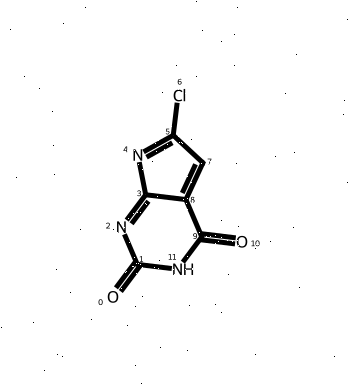 O=C1N=C2N=C(Cl)C=C2C(=O)N1